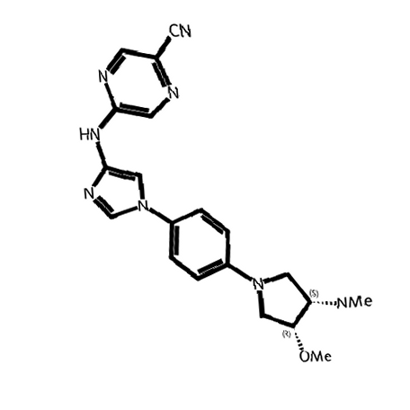 CN[C@H]1CN(c2ccc(-n3cnc(Nc4cnc(C#N)cn4)c3)cc2)C[C@H]1OC